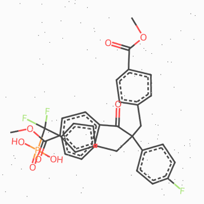 COC(=O)c1ccc(CC(Cc2ccc(C(F)(F)P(=O)(O)O)cc2)(C(=O)c2ccc(C(=O)OC)cc2)c2ccc(F)cc2)cc1